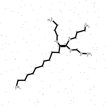 CCCCCCCCCCCC(OCCCC)=C(OCCCC)OCOC